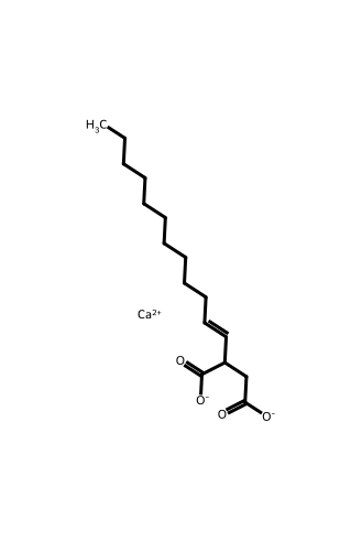 CCCCCCCCCCC=CC(CC(=O)[O-])C(=O)[O-].[Ca+2]